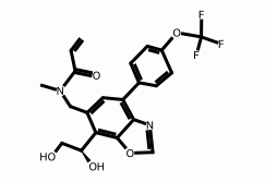 C=CC(=O)N(C)Cc1cc(-c2ccc(OC(F)(F)F)cc2)c2ncoc2c1[C@@H](O)CO